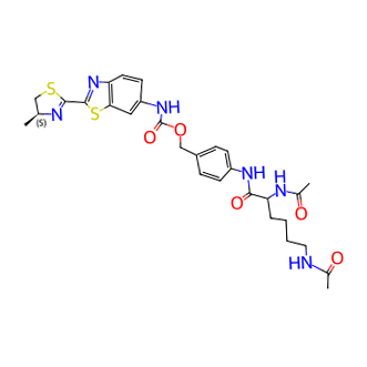 CC(=O)NCCCCC(NC(C)=O)C(=O)Nc1ccc(COC(=O)Nc2ccc3nc(C4=N[C@@H](C)CS4)sc3c2)cc1